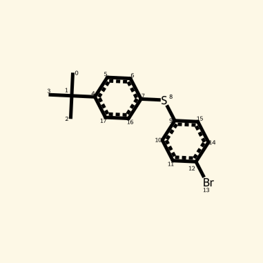 CC(C)(C)c1ccc(Sc2ccc(Br)cc2)cc1